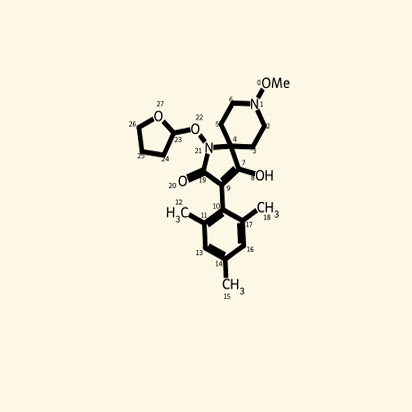 CON1CCC2(CC1)C(O)=C(c1c(C)cc(C)cc1C)C(=O)N2OC1CCCO1